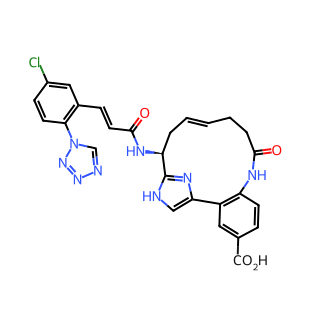 O=C(/C=C/c1cc(Cl)ccc1-n1cnnn1)N[C@H]1C/C=C/CCC(=O)Nc2ccc(C(=O)O)cc2-c2c[nH]c1n2